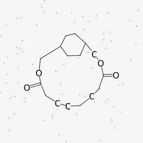 O=C1CCCCCCC(=O)OCC2CCC(CC2)CO1